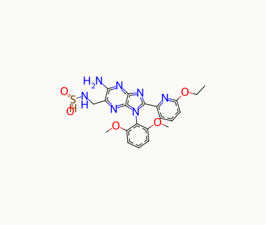 CCOc1cccc(-c2nc3nc(N)c(CN[SH](=O)=O)nc3n2-c2c(OC)cccc2OC)n1